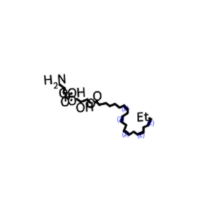 CC/C=C\C/C=C\C/C=C\C/C=C\C/C=C\CCCCCC(=O)OCC(O)COP(=O)(O)OCCN